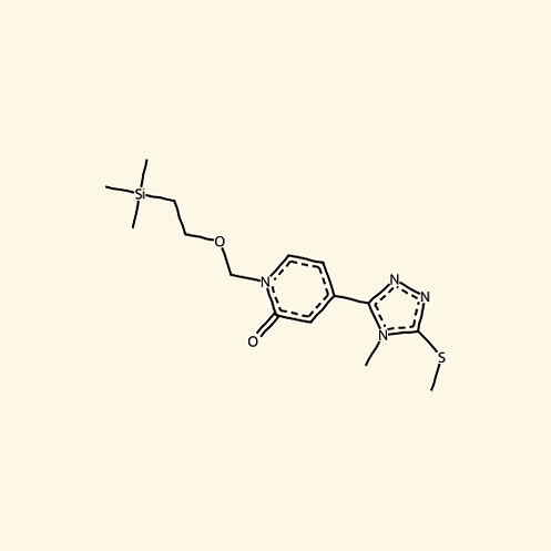 CSc1nnc(-c2ccn(COCC[Si](C)(C)C)c(=O)c2)n1C